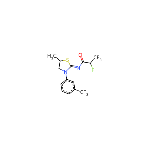 CC1CN(c2cccc(C(F)(F)F)c2)C(=NC(=O)C(F)C(F)(F)F)S1